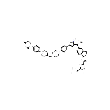 C=N/C(=C1/C=C(c2ccc(N3CCN(CC4CCN(c5ccc(N6CCC(=O)NC6=O)cc5)CC4)CC3)cc2)N/C1=N/C)c1ccc2c(c1)CC[C@H]2NC(=O)c1noc(C(C)(C)C)n1